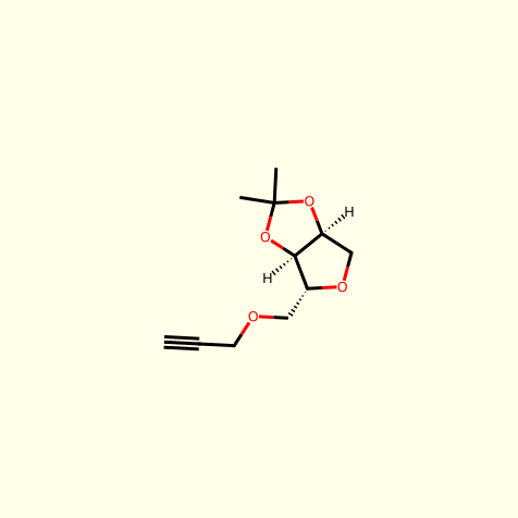 C#CCOC[C@H]1OC[C@@H]2OC(C)(C)O[C@@H]21